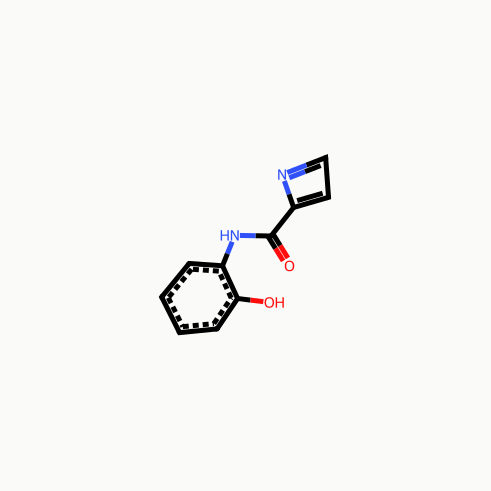 O=C(Nc1ccccc1O)C1=CC=N1